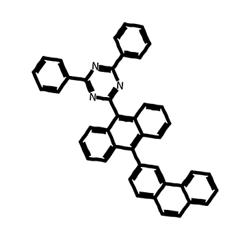 c1ccc(-c2nc(-c3ccccc3)nc(-c3c4ccccc4c(-c4ccc5ccc6ccccc6c5c4)c4ccccc34)n2)cc1